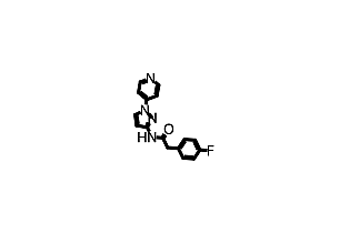 O=C(Cc1ccc(F)cc1)Nc1ccn(-c2ccncc2)n1